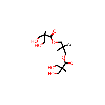 CC(=O)C(C)(COC(=O)C(C)(CO)CO)COC(=O)C(C)(CO)CO